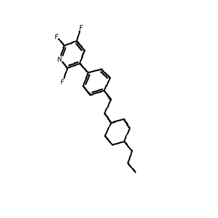 CCCC1CCC(CCc2ccc(-c3cc(F)c(F)nc3F)cc2)CC1